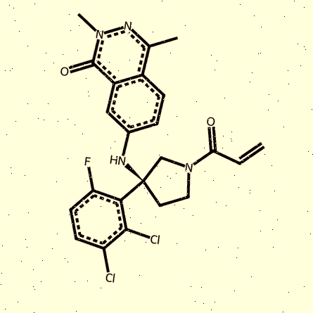 C=CC(=O)N1CC[C@](Nc2ccc3c(C)nn(C)c(=O)c3c2)(c2c(F)ccc(Cl)c2Cl)C1